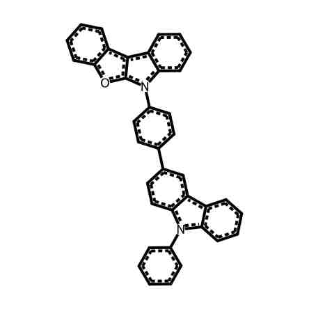 c1ccc(-n2c3ccccc3c3cc(-c4ccc(-n5c6ccccc6c6c7ccccc7oc65)cc4)ccc32)cc1